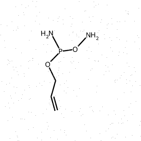 C=CCOP(N)ON